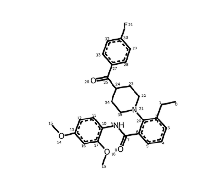 CCc1cccc(C(=O)Nc2ccc(OC)cc2OC)c1N1CCC(C(=O)c2ccc(F)cc2)CC1